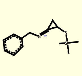 C[Si](C)(C)SC1C/C1=N\Cc1ccccc1